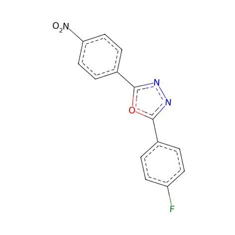 O=[N+]([O-])c1ccc(-c2nnc(-c3ccc(F)cc3)o2)cc1